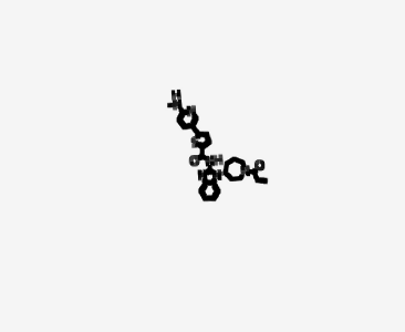 C=CC(=O)N1CCC[C@@H](n2c(NC(=O)c3ccc(-c4ccc(NC)nc4)s3)nc3ccccc32)CC1